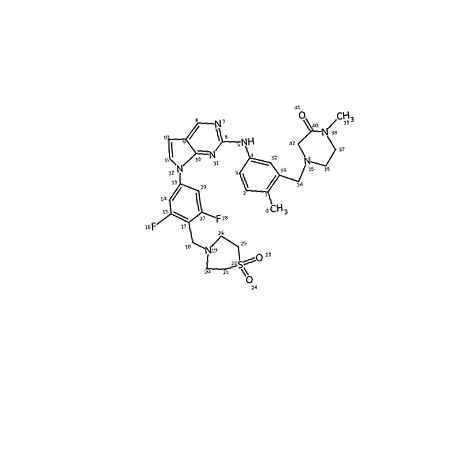 Cc1ccc(Nc2ncc3ccn(-c4cc(F)c(CN5CCS(=O)(=O)CC5)c(F)c4)c3n2)cc1CN1CCN(C)C(=O)C1